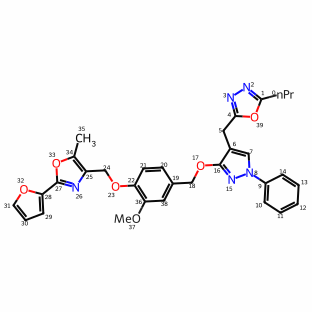 CCCc1nnc(Cc2cn(-c3ccccc3)nc2OCc2ccc(OCc3nc(-c4ccco4)oc3C)c(OC)c2)o1